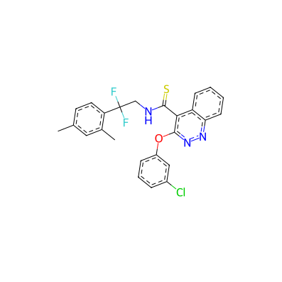 Cc1ccc(C(F)(F)CNC(=S)c2c(Oc3cccc(Cl)c3)nnc3ccccc23)c(C)c1